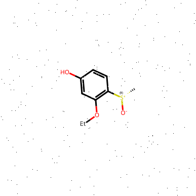 CCOc1cc(O)ccc1[S@+](C)[O-]